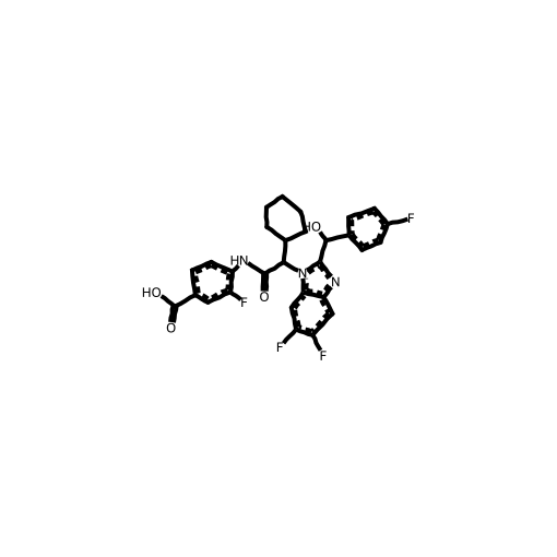 O=C(O)c1ccc(NC(=O)C(C2CCCCC2)n2c(C(O)c3ccc(F)cc3)nc3cc(F)c(F)cc32)c(F)c1